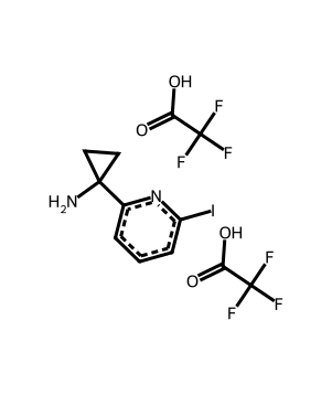 NC1(c2cccc(I)n2)CC1.O=C(O)C(F)(F)F.O=C(O)C(F)(F)F